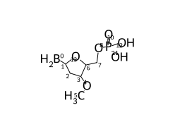 BC1CC(OC)C(COP(=O)(O)O)O1